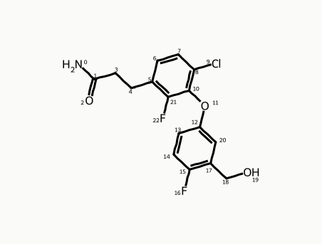 NC(=O)C[CH]c1ccc(Cl)c(Oc2ccc(F)c(CO)c2)c1F